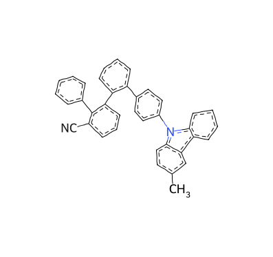 Cc1ccc2c(c1)c1ccccc1n2-c1ccc(-c2ccccc2-c2cccc(C#N)c2-c2ccccc2)cc1